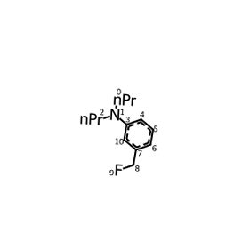 CCCN(CCC)c1cccc(CF)c1